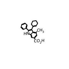 Cc1cc(C(=O)O)cc2[nH]c(-c3ccccc3)c(C3=CCCCC3)c12